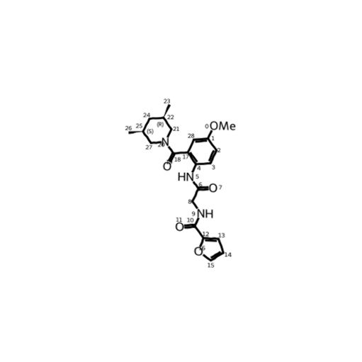 COc1ccc(NC(=O)CNC(=O)c2ccco2)c(C(=O)N2C[C@H](C)C[C@H](C)C2)c1